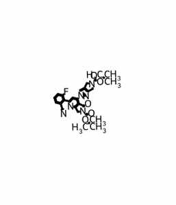 CC(C)(C)OC(=O)N1Cc2cn(-c3cc(-c4c(F)cccc4C#N)nc4c3C(=O)N(C(=O)OC(C)(C)C)C4)nc2C1